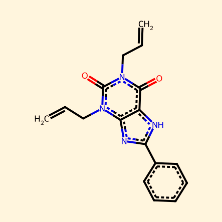 C=CCn1c(=O)c2[nH]c(-c3ccccc3)nc2n(CC=C)c1=O